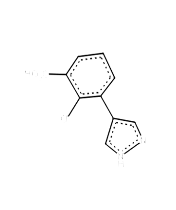 O=C(O)c1cccc(-c2cn[nH]c2)c1Cl